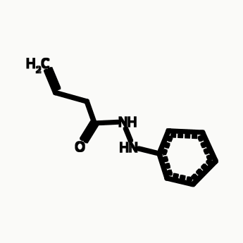 C=CCC(=O)NNc1ccccc1